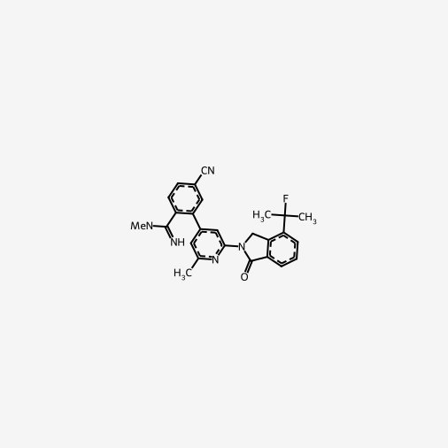 CNC(=N)c1ccc(C#N)cc1-c1cc(C)nc(N2Cc3c(cccc3C(C)(C)F)C2=O)c1